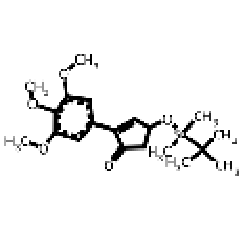 COc1cc(C2=CC(O[Si](C)(C)C(C)(C)C)CC2=O)cc(OC)c1OC